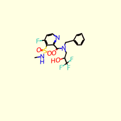 CNS(=O)(=O)c1c(F)ccnc1C(=O)N(Cc1ccccc1)CC(O)C(F)(F)F